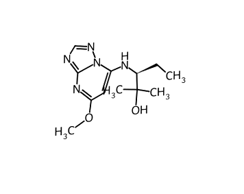 CC[C@H](Nc1cc(OC)nc2ncnn12)C(C)(C)O